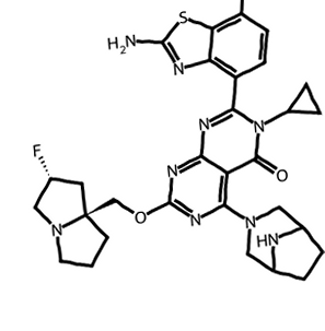 Nc1nc2c(-c3nc4nc(OC[C@@]56CCCN5C[C@H](F)C6)nc(N5CC6CCC(C5)N6)c4c(=O)n3C3CC3)ccc(F)c2s1